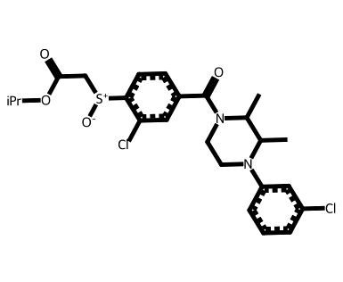 CC(C)OC(=O)C[S+]([O-])c1ccc(C(=O)N2CCN(c3cccc(Cl)c3)C(C)C2C)cc1Cl